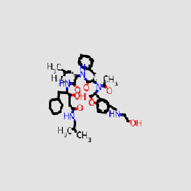 CC(=O)N(C1COc2ccc(CNCCO)cc21)[C@@H](Cc1ccccc1)C(=O)N[C@@H](CC(C)C)C(=O)NC(CC1CCCCC1)C(O)CC(=O)NCC(C)C